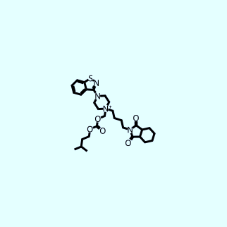 CC(C)CCOC(=O)OC[N+]1(CCCCN2C(=O)C3CCCCC3C2=O)CCN(c2nsc3ccccc23)CC1